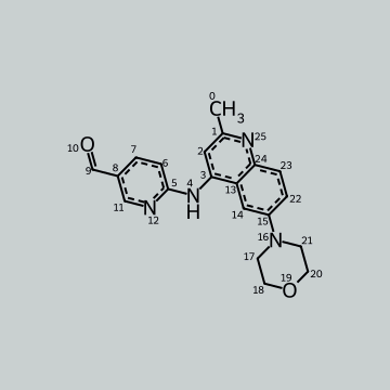 Cc1cc(Nc2ccc(C=O)cn2)c2cc(N3CCOCC3)ccc2n1